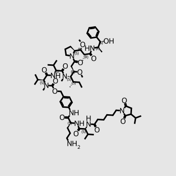 CC[C@H](C)[C@@H]([C@@H](CC(=O)N1CCC[C@H]1[C@H](OC)[C@@H](C)C(=O)N[C@H](C)[C@@H](O)c1ccccc1)OC)N(C)C(=O)[C@@H](NC(=O)[C@H](C(C)C)N(C)C(=O)OCc1ccc(NC(=O)[C@H](CCCN)NC(=O)[C@@H](NC(=O)CCCCCN2C(=O)CC(C(C)C)C2=O)C(C)C)cc1)C(C)C